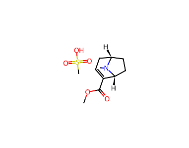 COC(=O)C1=CC[C@@H]2CC[C@H]1N2C.CS(=O)(=O)O